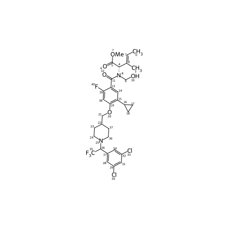 C/C=C(\C)[C@@H](C(=O)OC)N(CO)C(=O)c1cc(C2CC2)c(OCC2CCN(C(c3cc(Cl)cc(Cl)c3)C(F)(F)F)CC2)cc1F